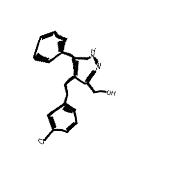 OCc1n[nH]c(-c2ccccc2)c1Cc1cccc(Cl)c1